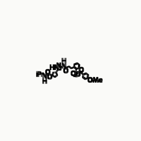 COc1ccc(COc2cccc(CCC(=O)Nc3cc([C@H]4CC[C@@H](OC(=O)NC(C)C)C4)[nH]n3)c2C2OCCO2)cc1